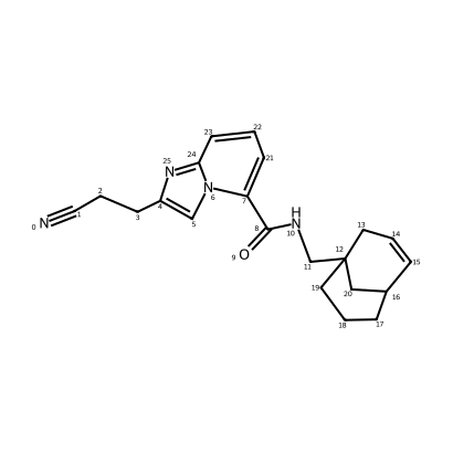 N#CCCc1cn2c(C(=O)NCC34CC=CC(CCC3)C4)cccc2n1